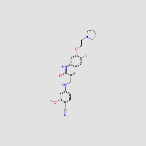 COc1cc(NCc2cc3cc(Cl)c(OCCN4CCCC4)cc3[nH]c2=O)ccc1C#N